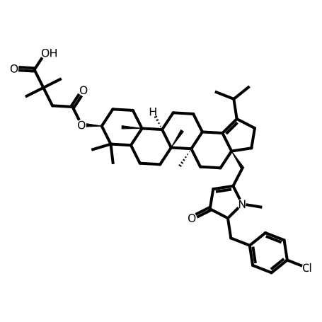 CC(C)C1=C2C3CC[C@@H]4[C@@]5(C)CC[C@H](OC(=O)CC(C)(C)C(=O)O)C(C)(C)C5CC[C@@]4(C)[C@]3(C)CC[C@@]2(CC2=CC(=O)C(Cc3ccc(Cl)cc3)N2C)CC1